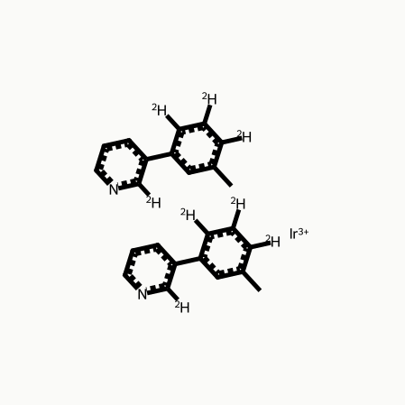 [2H]c1ncccc1-c1cc(C)c([2H])c([2H])c1[2H].[2H]c1ncccc1-c1cc(C)c([2H])c([2H])c1[2H].[Ir+3]